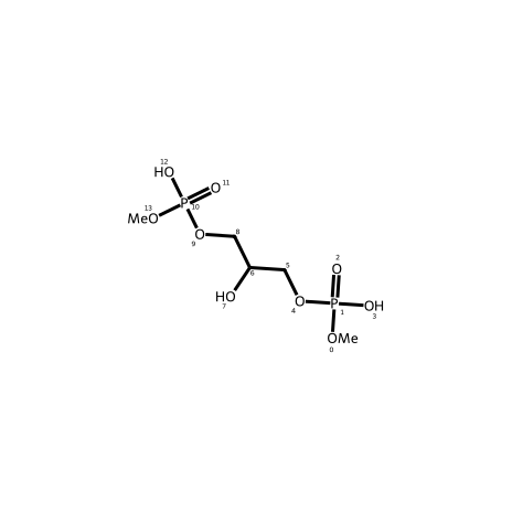 COP(=O)(O)OCC(O)COP(=O)(O)OC